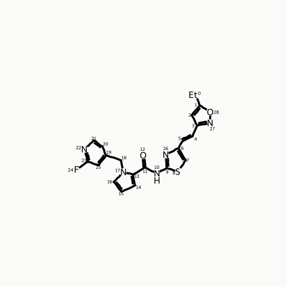 CCc1cc(C=Cc2csc(NC(=O)c3cccn3Cc3ccnc(F)c3)n2)no1